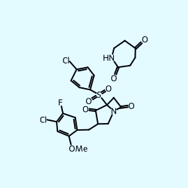 COc1cc(Cl)c(F)cc1CC1CN2C(=O)CC2(S(=O)(=O)c2ccc(Cl)cc2)C1=O.O=C1CCNC(=O)CC1